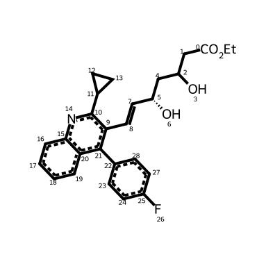 CCOC(=O)CC(O)C[C@H](O)/C=C/c1c(C2CC2)nc2ccccc2c1-c1ccc(F)cc1